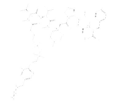 CC[C@H](C)[C@@H]([C@@H](CC(=O)N1CCC[C@H]1[C@H](OC)[C@@H](C)C(=O)N[C@@H](Cc1ccccc1)C(=O)O)OC)N(C)C(=O)[C@@H](NC(=O)[C@H](C(C)C)N(C)C(=O)CCC[Si](C)(C)O[Si](C)(C)CSc1ncc(CN=[N+]=[N-])cn1)C(C)C